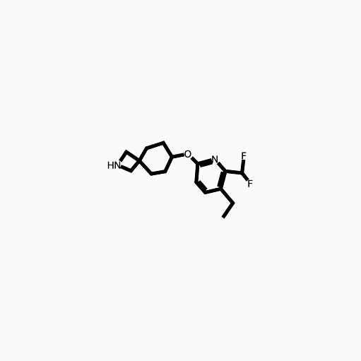 CCc1ccc(OC2CCC3(CC2)CNC3)nc1C(F)F